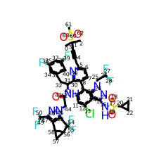 CC(C)(C#Cc1ccc(-c2ccc(Cl)c3c(NS(=O)(=O)C4CC4)nn(CC(F)F)c23)c(C(Cc2cc(F)cc(F)c2)NC(=O)Cn2nc(C(F)F)c3c2C(F)(F)C2CC32)n1)S(C)(=O)=O